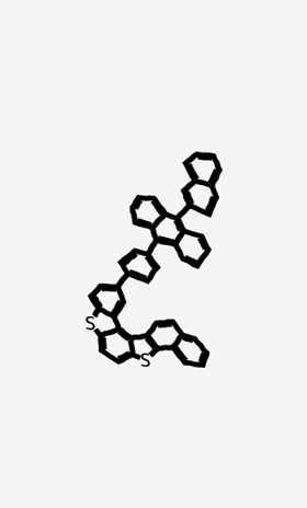 c1ccc2cc(-c3c4ccccc4c(-c4ccc(-c5ccc6sc7ccc8sc9c%10ccccc%10ccc9c8c7c6c5)cc4)c4ccccc34)ccc2c1